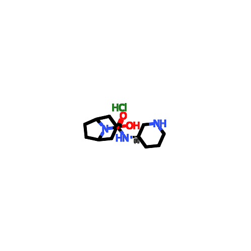 Cl.O=C(N[C@H]1CCCNC1)N1C2CCC1CC(O)C2